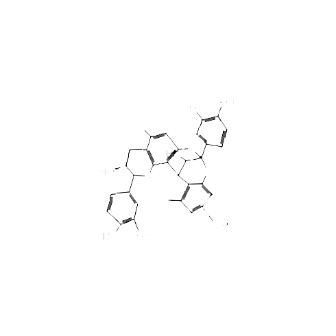 Oc1cc(O)c2c(c1)OC1(c3ccc(O)c(O)c3)Oc3cc(O)c4c(c3C2C1O)OC(c1ccc(O)c(O)c1)[C@@H](O)C4